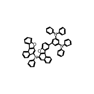 c1ccc(N(c2ccccc2)c2cc(-c3ccc4oc5c(N(c6ccccc6)c6cc7oc8ccccc8c7c7ccccc67)cc6ccccc6c5c4c3)cc(N(c3ccccc3)c3ccccc3)c2)cc1